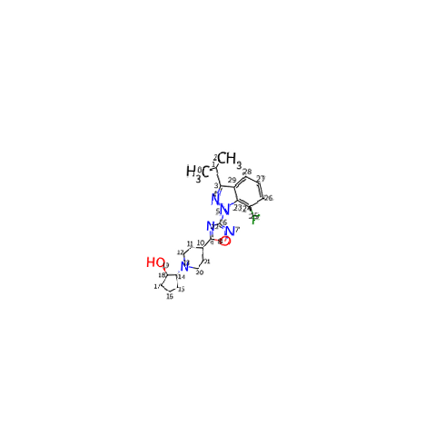 CC(C)c1nn(-c2noc(C3CCN([C@@H]4CCC[C@H]4O)CC3)n2)c2c(F)cccc12